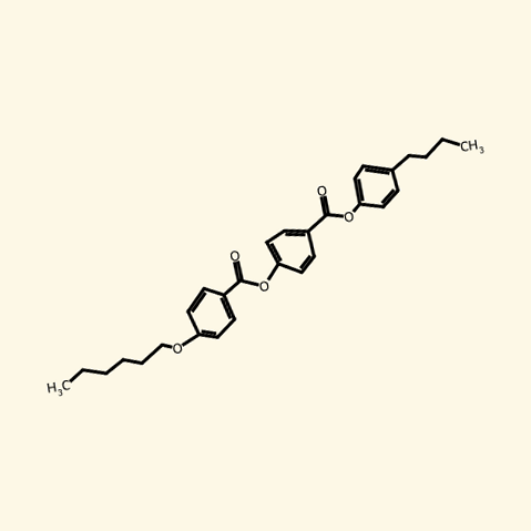 CCCCCCOc1ccc(C(=O)Oc2ccc(C(=O)Oc3ccc(CCCC)cc3)cc2)cc1